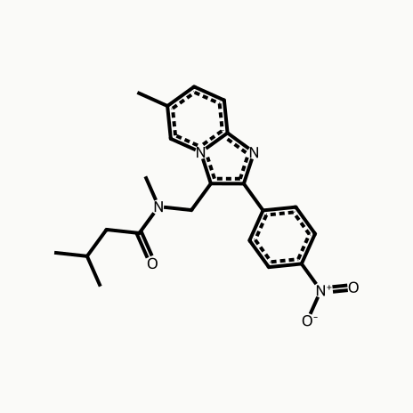 Cc1ccc2nc(-c3ccc([N+](=O)[O-])cc3)c(CN(C)C(=O)CC(C)C)n2c1